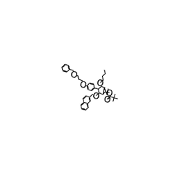 CCCCOC1CN(OC(=O)C(C)(C)C)CC(OCc2ccc3ccccc3c2)C1c1ccc(OCCCOCc2ccccc2)cc1